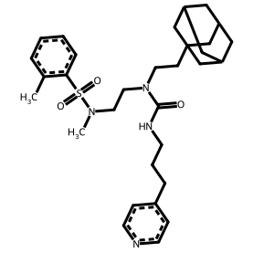 Cc1ccccc1S(=O)(=O)N(C)CCN(CCC12CC3CC(CC(C3)C1)C2)C(=O)NCCCc1ccncc1